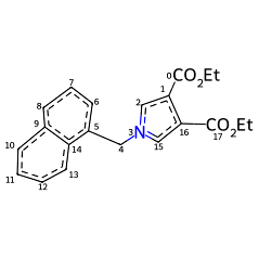 CCOC(=O)c1cn(Cc2cccc3ccccc23)cc1C(=O)OCC